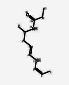 C/C=C\N/C=C/CC(C)NC(=O)CC